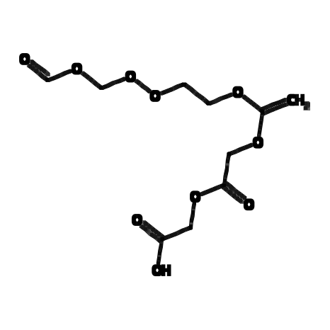 C=C(OCCOOCOC=O)OCC(=O)OCC(=O)O